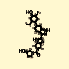 CCc1cc(O)c(F)cc1-c1ccc2c(-c3nc4c([nH]3)CN(C(=O)N3CCC(O)C3)C4)n[nH]c2c1